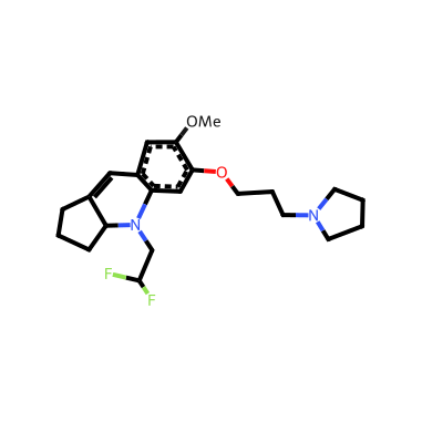 COc1cc2c(cc1OCCCN1CCCC1)N(CC(F)F)C1CCCC1=C2